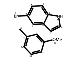 Brc1ccc2[nH]ccc2c1.COc1cccc(C)c1